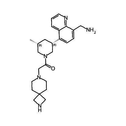 C[C@@H]1C[C@H](c2ccc(CN)c3ncccc23)CN(C(=O)CN2CCC3(CC2)CNC3)C1